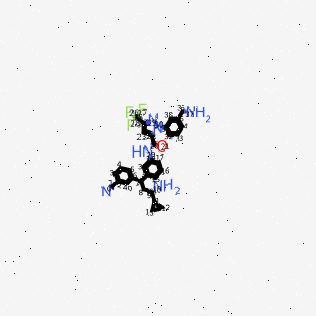 N#Cc1cccc(C(C[C@H](N)C2CC2)c2cccc(NC(=O)c3cc(C(F)(F)F)nn3-c3cccc(CN)c3)c2)c1